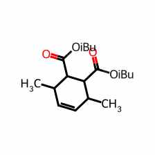 CC(C)COC(=O)C1C(C)C=CC(C)C1C(=O)OCC(C)C